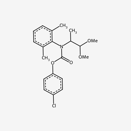 COC(OC)C(C)N(C(=O)Oc1ccc(Cl)cc1)c1c(C)cccc1C